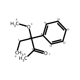 CCC(OC)(C(C)=O)c1ccccc1